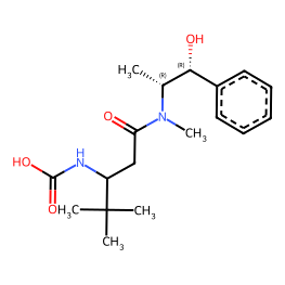 C[C@H]([C@H](O)c1ccccc1)N(C)C(=O)CC(NC(=O)O)C(C)(C)C